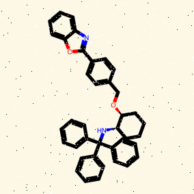 c1ccc(C(N[C@@H]2CCCC[C@@H]2OCc2ccc(-c3nc4ccccc4o3)cc2)(c2ccccc2)c2ccccc2)cc1